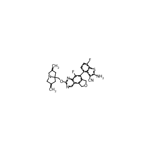 C=C1CN2CC(=C)CC2(COc2ncc3c4c(c(-c5ccc(F)c6sc(N)c(C#N)c56)c(F)c3n2)COC4)C1